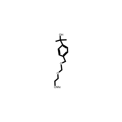 COCCOCOCc1ccc(C(C)(C)O)cc1